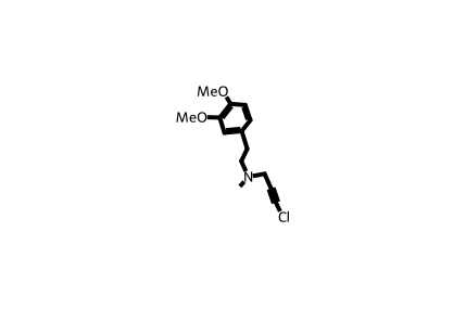 COc1ccc(CCN(C)CC#CCl)cc1OC